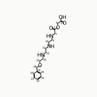 O=C(O)COC(=O)CNCCNCCNCCOCc1ccccc1